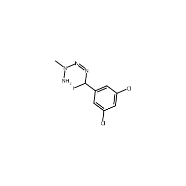 CN(N)/N=N\C(I)c1cc(Cl)cc(Cl)c1